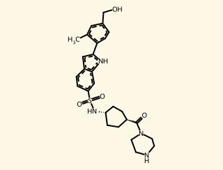 Cc1cc(CO)ccc1-c1cc2ccc(S(=O)(=O)N[C@H]3CC[C@H](C(=O)N4CCNCC4)CC3)cc2[nH]1